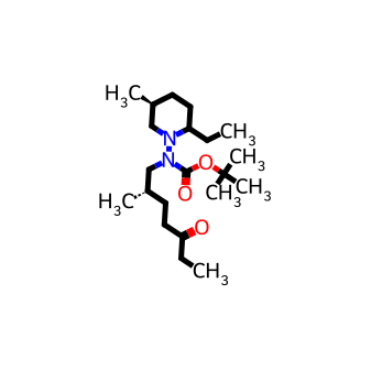 CCC(=O)CC[C@H](C)CN(C(=O)OC(C)(C)C)N1C[C@@H](C)CCC1CC